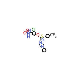 O=c1[nH]c(-c2ccc(OCc3sc(-c4ccc(C(F)(F)F)cc4)nc3CN3CCN(c4ccccc4)CC3)cc2Cl)no1